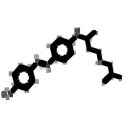 C=C(C)COCCC(C)Nc1ccc(/N=N/c2ccc([N+](=O)[O-])cc2)cc1